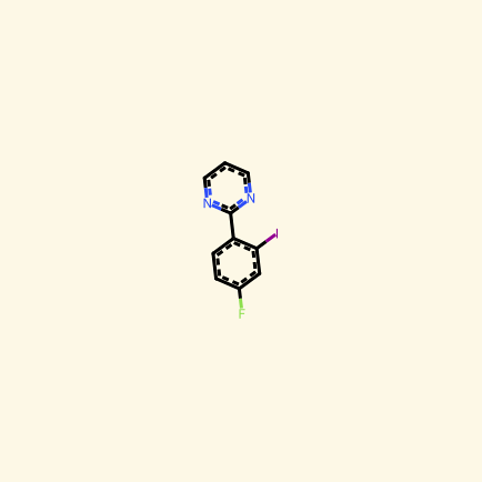 Fc1ccc(-c2ncccn2)c(I)c1